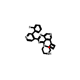 Fc1ccccc1-c1cnccc1-c1nc(N2CCNCC2)c2c(C3=CC=C3)cncc2n1